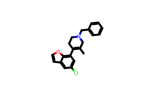 CC1=C(c2cc(Cl)cc3ccoc23)CCN(Cc2ccccc2)C1